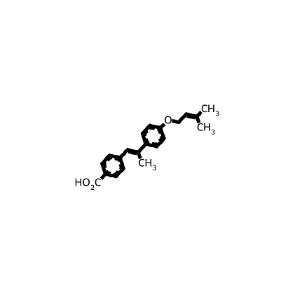 CC(C)=CCOc1ccc(/C(C)=C/c2ccc(C(=O)O)cc2)cc1